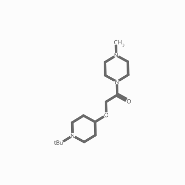 CN1CCN(C(=O)COC2CCN(C(C)(C)C)CC2)CC1